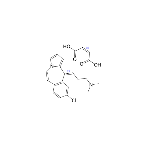 CN(C)CC/C=C1\c2cc(Cl)ccc2C=Cn2cccc21.O=C(O)/C=C\C(=O)O